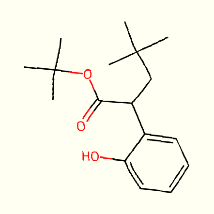 CC(C)(C)CC(C(=O)OC(C)(C)C)c1ccccc1O